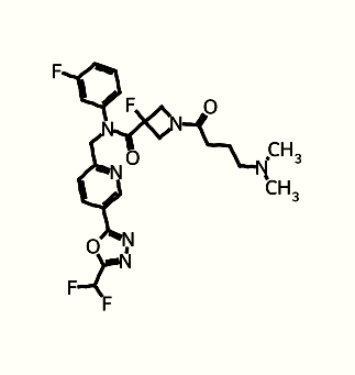 CN(C)CCCC(=O)N1CC(F)(C(=O)N(Cc2ccc(-c3nnc(C(F)F)o3)cn2)c2cccc(F)c2)C1